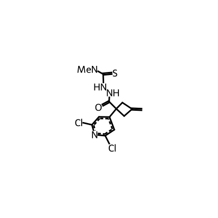 C=C1CC(C(=O)NNC(=S)NC)(c2cc(Cl)nc(Cl)c2)C1